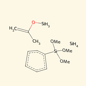 C=C(C)O[SiH3].CO[Si](OC)(OC)c1ccccc1.[SiH4]